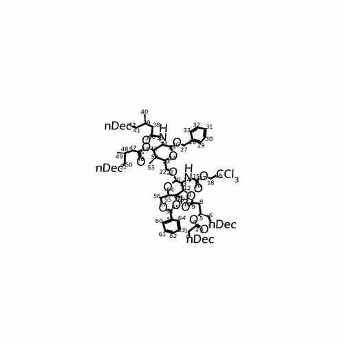 CCCCCCCCCCCC(=O)O[C@H](CCCCCCCCCCC)CC(=O)O[C@@H]1C(NC(=O)OCC(Cl)(Cl)Cl)[C@H](OCC2O[C@H](OCc3ccccc3)C(NC(=O)C[C@H](C)CCCCCCCCCCC)[C@@H](OC(=O)C[C@H](C)CCCCCCCCCCC)[C@@H]2C)OC2COC(c3ccccc3)O[C@H]21